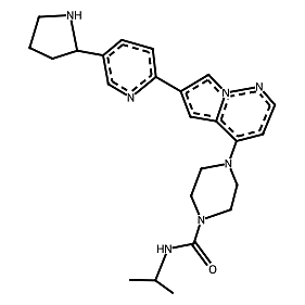 CC(C)NC(=O)N1CCN(c2ccnn3cc(-c4ccc(C5CCCN5)cn4)cc23)CC1